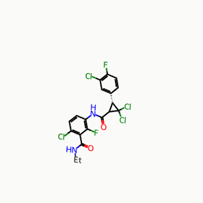 CCNC(=O)c1c(Cl)ccc(NC(=O)C2[C@H](c3ccc(F)c(Cl)c3)C2(Cl)Cl)c1F